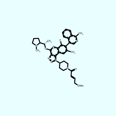 COC/C=C/C(=O)N1CCC(n2nnc3c(O[C@@H](C)C4CCCN4C)nc4c(F)c(-c5cnc(C)c6ccccc56)c(C)cc4c32)CC1